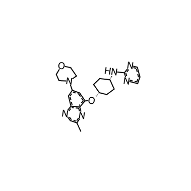 Cc1cnc2cc(N3CCOCC3)cc(O[C@H]3CC[C@@H](Nc4ncccn4)CC3)c2n1